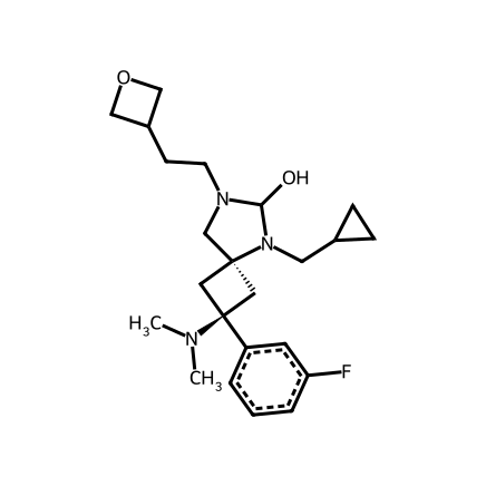 CN(C)[C@]1(c2cccc(F)c2)C[C@@]2(CN(CCC3COC3)C(O)N2CC2CC2)C1